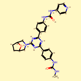 CNC(=O)Nc1ccc(-c2nc(-c3ccc(NC(=O)Nc4ccncc4)cc3)nc(N3CC4CCC(C3)O4)n2)cc1